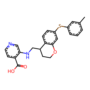 Cc1cccc(Sc2ccc3c(c2)OCCC3CNc2cnccc2C(=O)O)c1